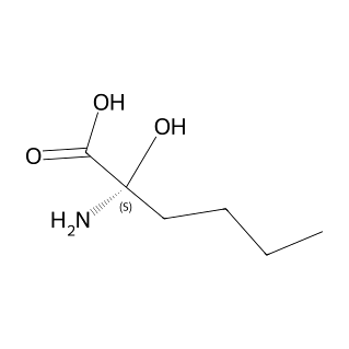 CCCC[C@](N)(O)C(=O)O